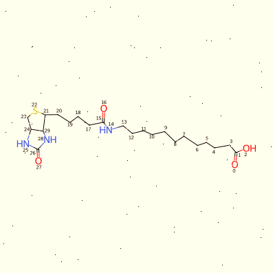 O=C(O)CCCCCCCCCCCNC(=O)CCCCC1SCC2NC(=O)NC21